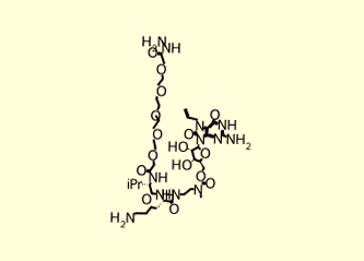 C=CCn1c(=O)n([C@H]2O[C@@H](COC(=O)N(C)CCNC(=O)[C@H](CCCCN)NC(=O)[C@@H](NC(=O)COCCOCCOCCOCCOCC(=O)NN)C(C)C)[C@H](O)[C@@H]2O)c2nc(N)[nH]c(=O)c21